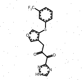 O=C(Cc1cocc1Sc1cccc(C(F)(F)F)c1)C(=O)c1nc[nH]n1